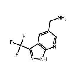 NCc1cnc2[nH]nc(C(F)(F)F)c2c1